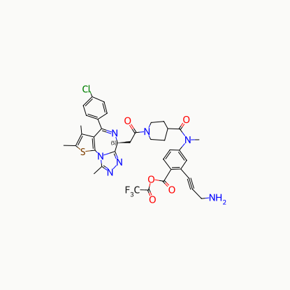 Cc1sc2c(c1C)C(c1ccc(Cl)cc1)=N[C@@H](CC(=O)N1CCC(C(=O)N(C)c3ccc(C(=O)OC(=O)C(F)(F)F)c(C#CCN)c3)CC1)c1nnc(C)n1-2